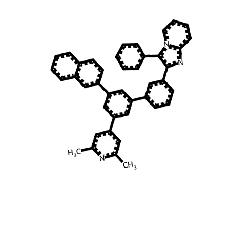 Cc1cc(-c2cc(-c3cccc(-c4nc5ccccn5c4-c4ccccc4)c3)cc(-c3ccc4ccccc4c3)c2)cc(C)n1